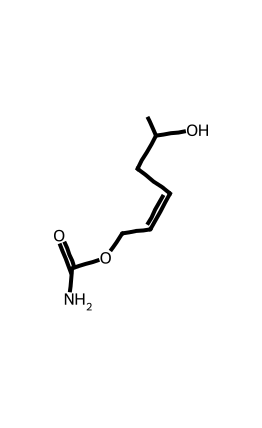 CC(O)C/C=C\COC(N)=O